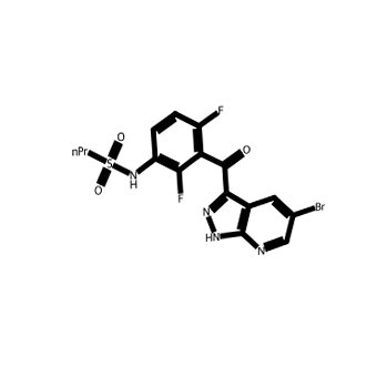 CCCS(=O)(=O)Nc1ccc(F)c(C(=O)c2n[nH]c3ncc(Br)cc23)c1F